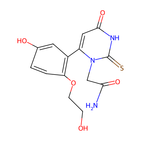 NC(=O)Cn1c(-c2cc(O)ccc2OCCO)cc(=O)[nH]c1=S